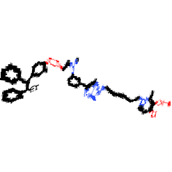 CCC(=C(c1ccccc1)c1ccc(OCCN(C)c2cccc(-c3cn(CCCCCn4ccc(=O)c(O)c4C)nn3)c2)cc1)c1ccccc1